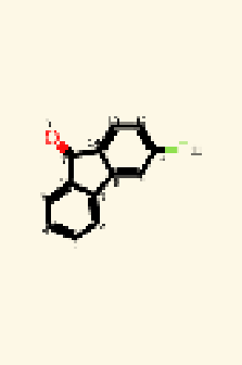 O=C1c2ccccc2-c2cc(F)ccc21